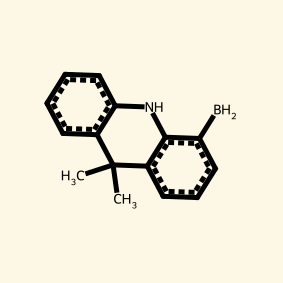 Bc1cccc2c1Nc1ccccc1C2(C)C